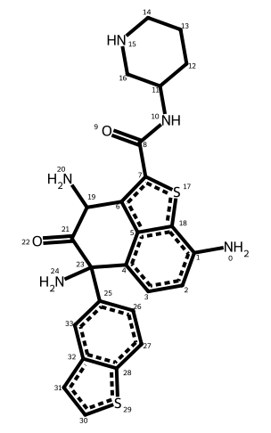 Nc1ccc2c3c(c(C(=O)NC4CCCNC4)sc13)C(N)C(=O)C2(N)c1ccc2sccc2c1